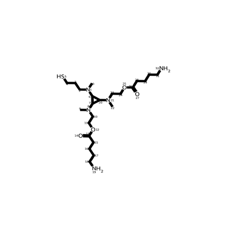 CN(CCCS)C1C(N(C)CCOC(=O)CCCCN)C1N(C)CCOC(=O)CCCCN